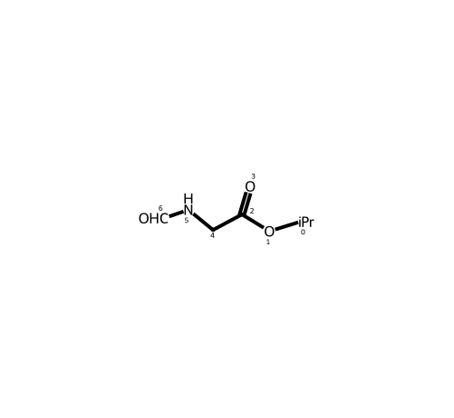 CC(C)OC(=O)CNC=O